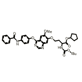 COc1cc2c(Oc3ccc(NC(=O)c4ccccc4)cc3)ncnc2cc1OCCC(NC(=O)OC(C)(C)C)C(=O)OC1CCCC1